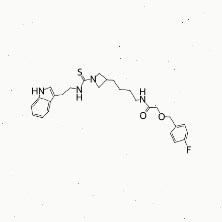 O=C(COCc1ccc(F)cc1)NCCCCC1CN(C(=S)NCCc2c[nH]c3ccccc23)C1